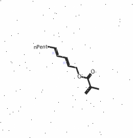 C=C(C)C(=O)OC/C=C/C=C/CCCCC